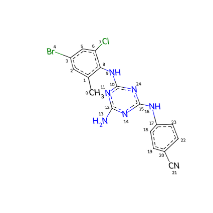 Cc1cc(Br)cc(Cl)c1Nc1nc(N)nc(Nc2ccc(C#N)cc2)n1